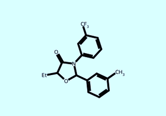 CCC1OC(c2cccc(C)c2)N(c2cccc(C(F)(F)F)c2)C1=O